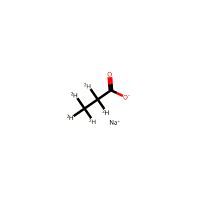 [2H]C([2H])([2H])C([2H])([2H])C(=O)[O-].[Na+]